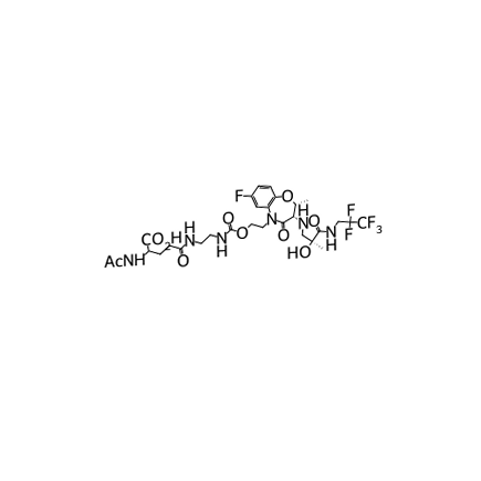 CC(=O)NC(CCC(=O)NCCNC(=O)OCCN1C(=O)[C@@H](NC[C@](C)(O)C(=O)NCC(F)(F)C(F)(F)F)[C@@H](C)Oc2ccc(F)cc21)C(=O)O